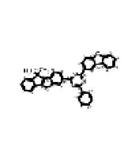 CC1(C)c2ccccc2-c2sc3cc(-c4nc(-c5ccccc5)nc(-c5ccc6oc7ccccc7c6c5)n4)ccc3c21